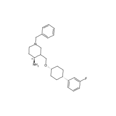 N[C@H]1CCN(Cc2ccccc2)CC1CO[C@H]1CC[C@@H](c2cccc(F)c2)CC1